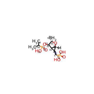 B[C@@H]1O[C@@H]2/C(=C\P(=O)(O)O)C2[C@H]1OP(=O)(O)C(C)C